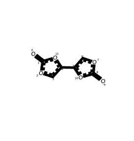 O=c1occ(-c2coc(=O)o2)o1